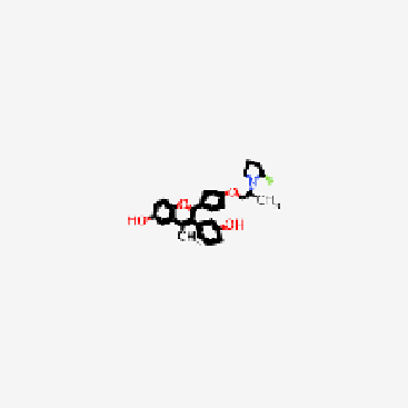 CC1=C(c2cccc(O)c2)C(c2ccc(OC[C@H](C)N3CCCC3F)cc2)Oc2ccc(O)cc21